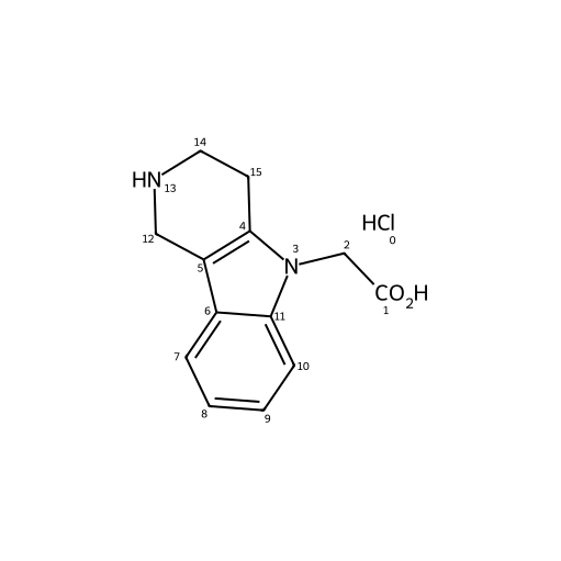 Cl.O=C(O)Cn1c2c(c3ccccc31)CNCC2